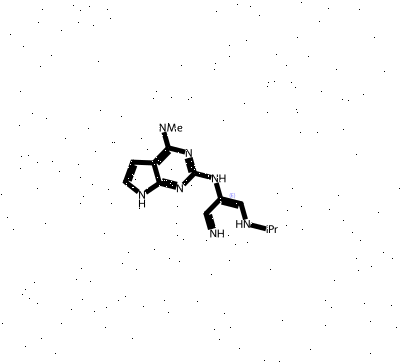 CNc1nc(N/C(C=N)=C/NC(C)C)nc2[nH]ccc12